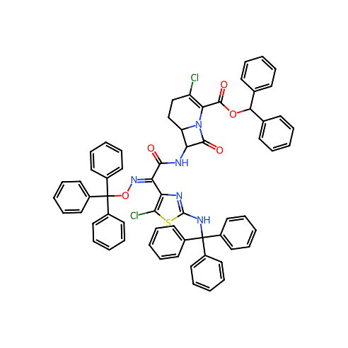 O=C(OC(c1ccccc1)c1ccccc1)C1=C(Cl)CCC2C(NC(=O)/C(=N/OC(c3ccccc3)(c3ccccc3)c3ccccc3)c3nc(NC(c4ccccc4)(c4ccccc4)c4ccccc4)sc3Cl)C(=O)N12